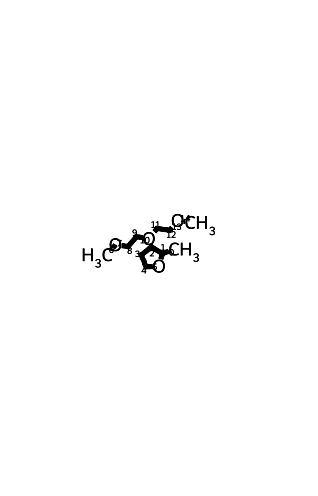 CC1CCCO1.COCCOCCOC